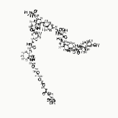 CC(=O)N[C@H](CCCCNC(=O)COC1CCCCCc2c1nnn2CCOCCOCCOCCOCCC(=O)NCCS(=O)(=O)O)C(=O)N[C@H](C(=O)N[C@@H](CCCNC(N)=O)C(=O)Nc1ccc(COC(=O)N[C@@H](CO)C(=O)Nc2ccc3c(c2)[C@@]2(C)CCC[C@](C)(C(=O)NC(=O)[C@@]4(C)CCC[C@]5(C)c6cc(O)ccc6CC[C@@H]45)[C@@H]2CC3)cc1)C(C)C